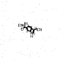 CCN(CC)C(=O)c1ccc2c(CC#N)c[nH]c2c1